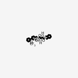 O=C(NCc1ccc(-c2ccccc2OC(F)(F)F)c[n+]1[O-])[C@H](O)[C@@H](O)C(=O)N1Cc2ccccc2C1